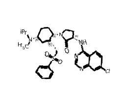 CC(C)N(C)[C@@H]1CC[C@H](N2CC[C@H](Nc3ncnc4cc(Cl)ccc34)C2=O)[C@H](CS(=O)(=O)c2ccccc2)C1